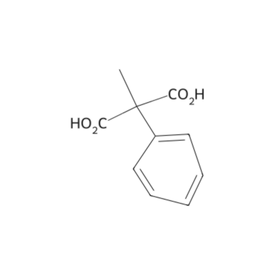 CC(C(=O)O)(C(=O)O)c1ccccc1